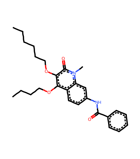 CCCCCCOc1c(OCCCC)c2ccc(NC(=O)c3ccccc3)cc2n(C)c1=O